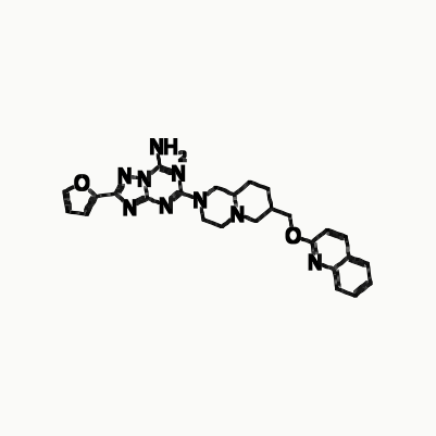 Nc1nc(N2CCN3CC(COc4ccc5ccccc5n4)CCC3C2)nc2nc(-c3ccco3)nn12